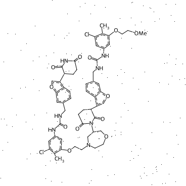 COCCOc1cc(NC(=O)NCc2ccc3c(C4CCC(=O)N(C5COCCN(CCOc6cc(NC(=O)NCc7ccc8c(C9CCC(=O)NC9=O)coc8c7)cc(Cl)c6C)C5)C4=O)coc3c2)cc(Cl)c1C